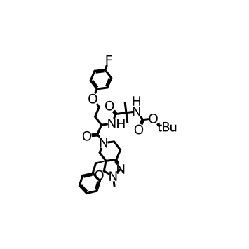 CN1N=C2CCN(C(=O)C(CCOc3ccc(F)cc3)NC(=O)C(C)(C)NC(=O)OC(C)(C)C)C[C@@]2(Cc2ccccc2)C1=O